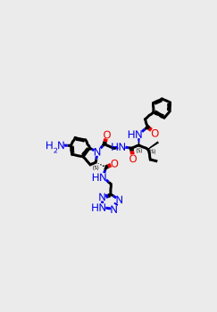 CC[C@H](C)[C@H](NC(=O)Cc1ccccc1)C(=O)NCC(=O)N1c2ccc(N)cc2C[C@H]1C(=O)NCc1nn[nH]n1